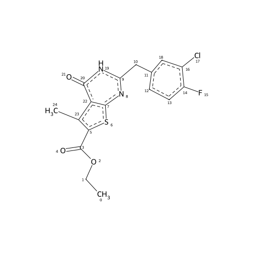 CCOC(=O)c1sc2nc(Cc3ccc(F)c(Cl)c3)[nH]c(=O)c2c1C